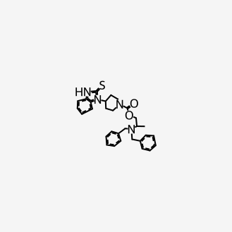 CC(COC(=O)N1CCC(n2c(=S)[nH]c3ccccc32)CC1)N(Cc1ccccc1)Cc1ccccc1